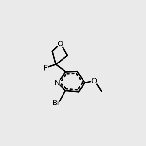 COc1cc(Br)nc(C2(F)COC2)c1